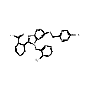 Cc1ccc(COc2ccc3nc(C4CCCC[C@H]4C(=O)O)n(Cc4ccccc4C)c3c2)nc1